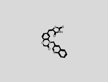 O=C1NC(=S)SC1=Cc1ccc2c(c1)N(Cc1cnc3ccccc3c1)C(=O)CO2